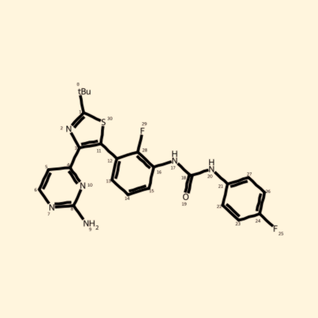 CC(C)(C)c1nc(-c2ccnc(N)n2)c(-c2cccc(NC(=O)Nc3ccc(F)cc3)c2F)s1